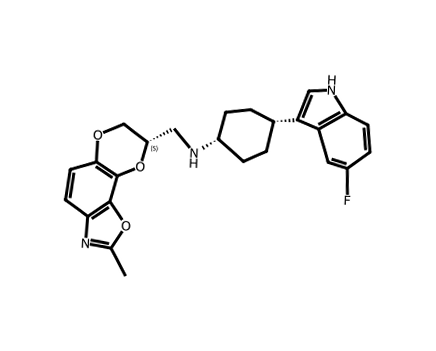 Cc1nc2ccc3c(c2o1)O[C@@H](CN[C@H]1CC[C@@H](c2c[nH]c4ccc(F)cc42)CC1)CO3